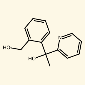 CC(O)(c1ccccn1)c1ccccc1CO